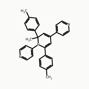 Cc1ccc(C2=CC(c3ccncc3)=CC(C)(c3ccc(C)cc3)N2c2ccncc2)cc1